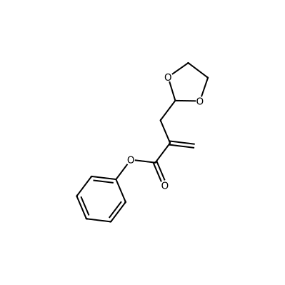 C=C(CC1OCCO1)C(=O)Oc1ccccc1